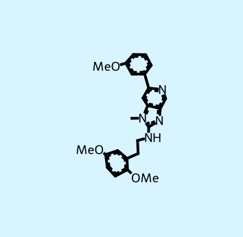 COc1cccc(-c2cc3c(cn2)nc(NCCc2cc(OC)ccc2OC)n3C)c1